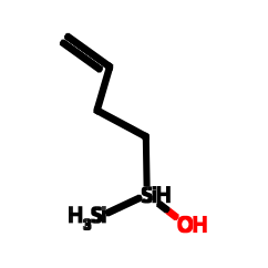 C=CCC[SiH](O)[SiH3]